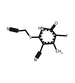 Cc1c(C#N)c(SCC#N)[nH]c(=O)c1F